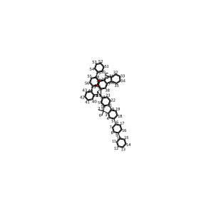 CC1(C)c2cc(-c3ccc(-c4ccccc4)cc3)ccc2-c2ccc(N(c3ccc4sc5ccccc5c4c3)c3ccccc3-c3ccc(-c4ccccc4)cc3)cc21